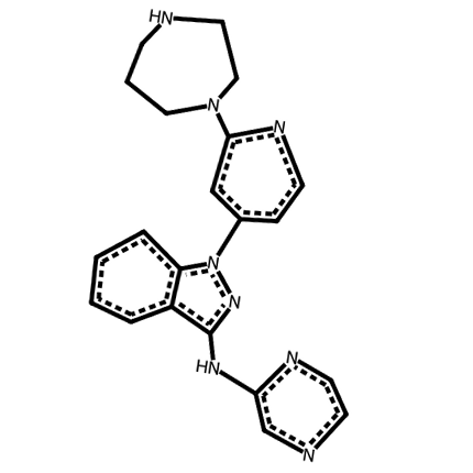 c1ccc2c(c1)c(Nc1cnccn1)nn2-c1ccnc(N2CCCNCC2)c1